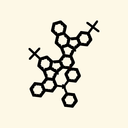 CC(C)(C)c1ccc2c(c1)c1c3ccccc3cc3c4c5c6cc(C(C)(C)C)cc7c8c9ccccc9cc(N(c9ccccc9)c9ccccc9)c8n(c5ncc4n2c31)c67